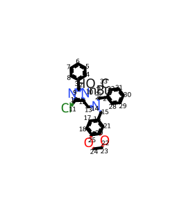 CCCCn1c(-c2ccccc2)nc(Cl)c1CN(Cc1ccc2c(c1)OCCO2)Cc1ccccc1C(=O)O